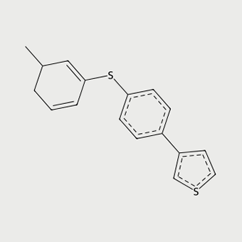 CC1C=C(Sc2ccc(-c3ccsc3)cc2)C=CC1